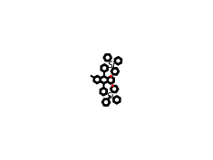 Cc1ccc2c(-c3cccc([Si](c4ccccc4)(c4ccccc4)c4ccccc4)c3)c3ccccc3c(-c3cccc([Si](c4ccccc4)(c4ccccc4)c4ccccc4)c3)c2c1